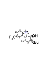 Cc1cc(/N=C\c2ccc(C(F)(F)F)cc2)c(O)c(C(C)(C)C)c1